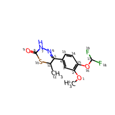 COc1cc(C2=NNC(=O)SC2C)ccc1OC(F)F